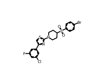 O=S(=O)(c1ccc(Br)cc1)C1CCN(c2nc(-c3cc(F)cc(Cl)c3)cs2)CC1